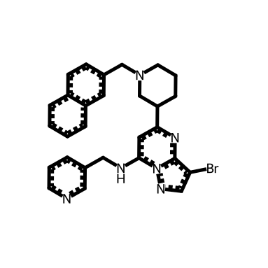 Brc1cnn2c(NCc3cccnc3)cc(C3CCCN(Cc4ccc5ccccc5c4)C3)nc12